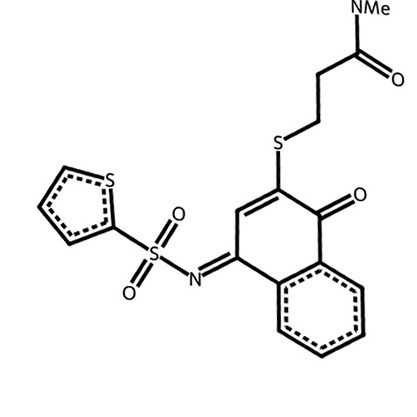 CNC(=O)CCSC1=CC(=NS(=O)(=O)c2cccs2)c2ccccc2C1=O